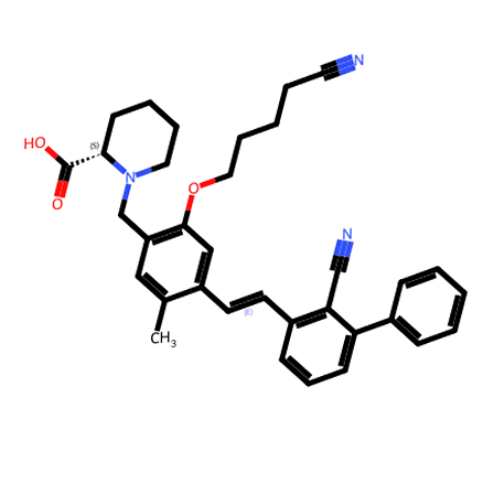 Cc1cc(CN2CCCC[C@H]2C(=O)O)c(OCCCCC#N)cc1/C=C/c1cccc(-c2ccccc2)c1C#N